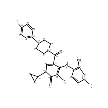 Cc1cc(Cl)ccc1Nc1c(C(=O)N2CCC(c3ccc(F)cc3)CC2)cn(C2CC2)c(=O)c1Cl